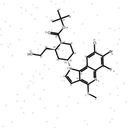 CSc1nc2c(F)c(Br)c(Cl)cc2c2c1ccn2[C@H]1CCN(C(=O)OC(C)(C)C)[C@H](CCO)C1